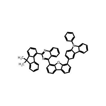 CC1(C)c2ccccc2-c2c(-c3nc(-c4cccc5c4oc4c(-c6ccc7c(c6)c6ccccc6n7-c6ccccc6)cccc45)c4ccccc4n3)cccc21